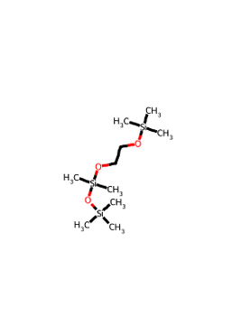 C[Si](C)(C)OCCO[Si](C)(C)O[Si](C)(C)C